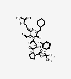 CC(C)(C)OC(=O)N1CCC[C@H]1C(=O)N[C@@H](Cc1ccccc1)C(=O)N(C(=O)[C@H](N)CC1CCCCC1)[C@H]([C]=O)CCCNC(=N)N